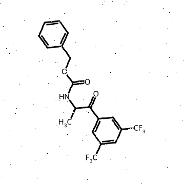 CC(NC(=O)OCc1ccccc1)C(=O)c1cc(C(F)(F)F)cc(C(F)(F)F)c1